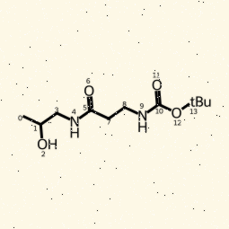 CC(O)CNC(=O)CCNC(=O)OC(C)(C)C